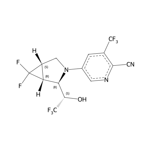 N#Cc1ncc(N2C[C@@H]3[C@H]([C@@H]2[C@H](O)C(F)(F)F)C3(F)F)cc1C(F)(F)F